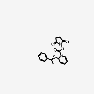 CC(SC1C=CC=CN1C(=O)ON1C(=O)CCC1=O)c1ccccc1